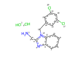 Cl.Cl.NCc1nc2ccccc2n1Cc1cc(Cl)cc(Cl)c1